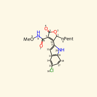 CCCCCC1OC(=O)C(C(=O)NOC)=C1c1cc2cc(Cl)ccc2[nH]1